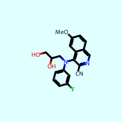 COc1ccc2cnc(C#N)c(N(CC(O)CO)c3cccc(F)c3)c2c1